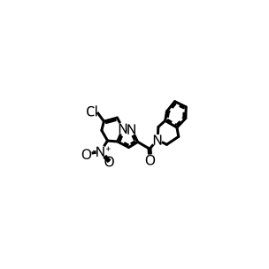 O=C(c1cc2n(n1)C=C(Cl)CC2[N+](=O)[O-])N1CCc2ccccc2C1